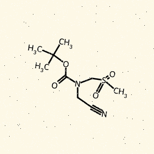 CC(C)(C)OC(=O)N(CC#N)CS(C)(=O)=O